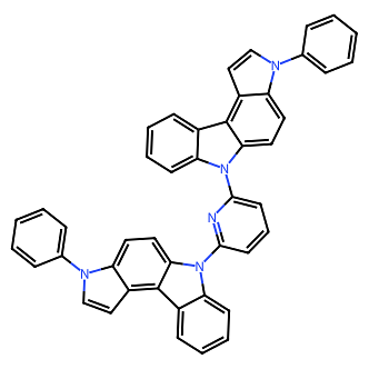 c1ccc(-n2ccc3c4c5ccccc5n(-c5cccc(-n6c7ccccc7c7c8ccn(-c9ccccc9)c8ccc76)n5)c4ccc32)cc1